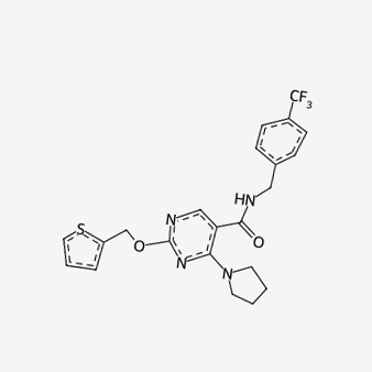 O=C(NCc1ccc(C(F)(F)F)cc1)c1cnc(OCc2cccs2)nc1N1CCCC1